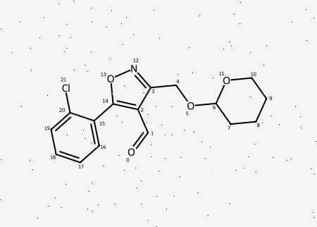 O=Cc1c(COC2CCCCO2)noc1-c1ccccc1Cl